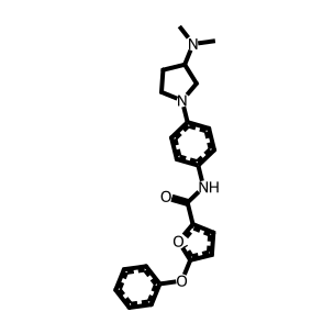 CN(C)C1CCN(c2ccc(NC(=O)c3ccc(Oc4ccccc4)o3)cc2)C1